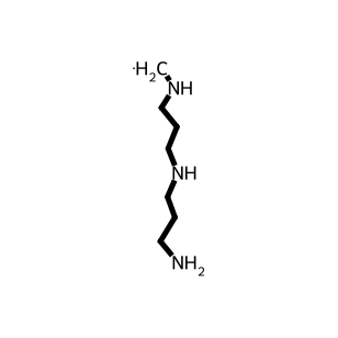 [CH2]NCCCNCCCN